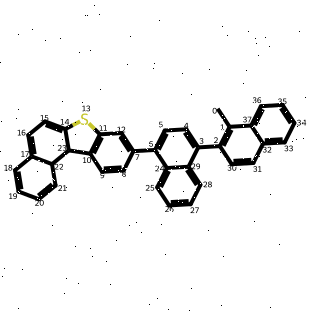 Cc1c(-c2ccc(-c3ccc4c(c3)SC3=CC=C5C=CC=CC5C34)c3ccccc23)ccc2ccccc12